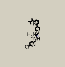 CC(C)C(C)c1cccc(C2CCN(C/C(N)=C/NCc3ccc(Cl)cn3)CC2)n1